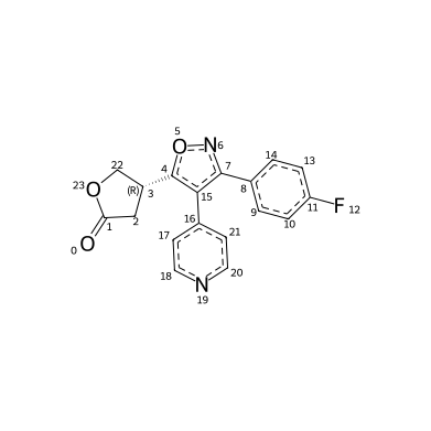 O=C1C[C@@H](c2onc(-c3ccc(F)cc3)c2-c2ccncc2)CO1